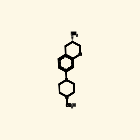 N[C@@H]1COc2cc(N3CCN(C(=O)O)CC3)ccc2C1